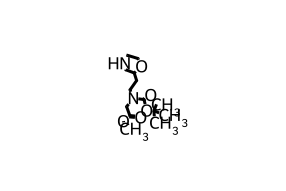 COC(=O)CN(CCC1CNCCO1)C(=O)OC(C)(C)C